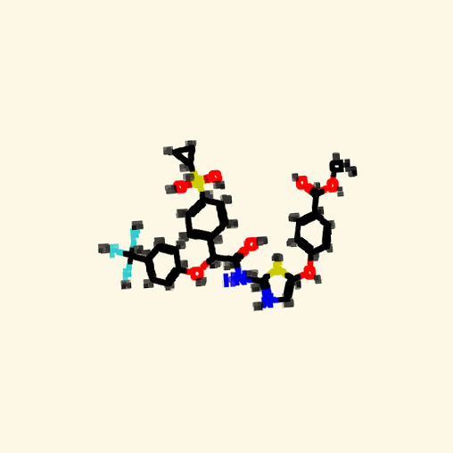 COC(=O)c1ccc(Oc2cnc(NC(=O)C(Oc3ccc(C(F)(F)F)cc3)c3ccc(S(=O)(=O)C4CC4)cc3)s2)cc1